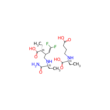 CC[C@H](NCC(C=C(F)F)[C@@H](CC)C(=O)O)C(N)=O.CC[C@H](NCCCC(=O)O)C(=O)O